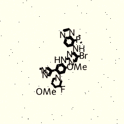 COc1cc(N2CCC(OC)C(F)C2)c(-c2cnn(C)c2)cc1Nc1ncc(Br)c(Nc2ccc3nccnc3c2P(C)C)n1